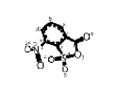 O=C1OS(=O)(=O)c2c1cccc2[N+](=O)[O-]